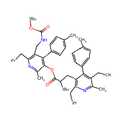 Cc1ccc(-c2c(CC#N)c(C)nc(CC(C)C)c2CC(C(=O)Oc2c(C)nc(CC(C)C)c(CNC(=O)OC(C)(C)C)c2-c2ccc(C)cc2)C(C)(C)C)cc1